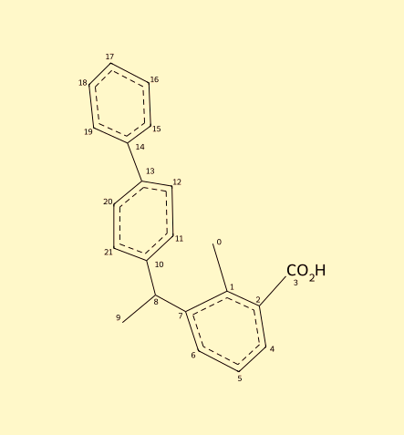 Cc1c(C(=O)O)cccc1C(C)c1ccc(-c2ccccc2)cc1